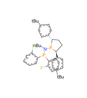 CCCCN(P(c1ccccc1F)c1ccccc1F)P1[C@H](c2ccc(C(C)(C)C)cc2)CC[C@H]1c1ccc(C(C)(C)C)cc1